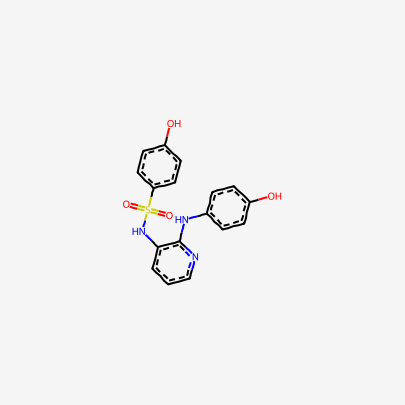 O=S(=O)(Nc1cccnc1Nc1ccc(O)cc1)c1ccc(O)cc1